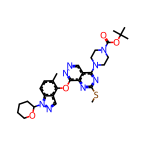 CSc1nc(N2CCN(C(=O)OC(C)(C)C)CC2)c2cnnc(Oc3c(C)ccc4c3cnn4C3CCCCO3)c2n1